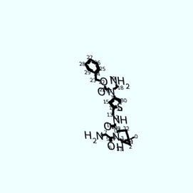 C[C@@]12C[C@@H]1N(C(=O)CN)[C@H](C(=O)NCc1cc(N(CN)C(=O)OCc3ccccc3)cs1)C2